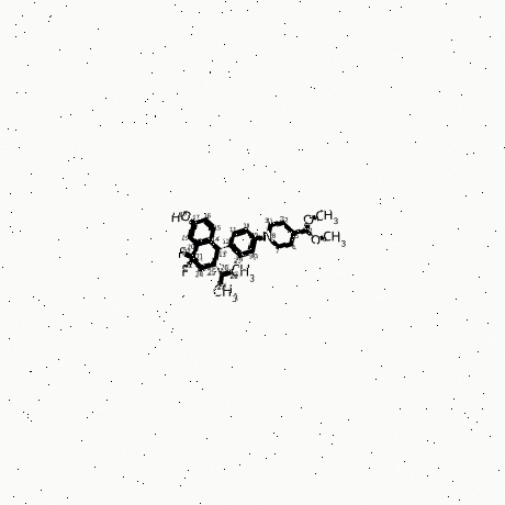 COC(OC)C1CCN(c2ccc([C@H]3c4ccc(O)cc4C(F)(F)C[C@H]3C(C)C)cc2)CC1